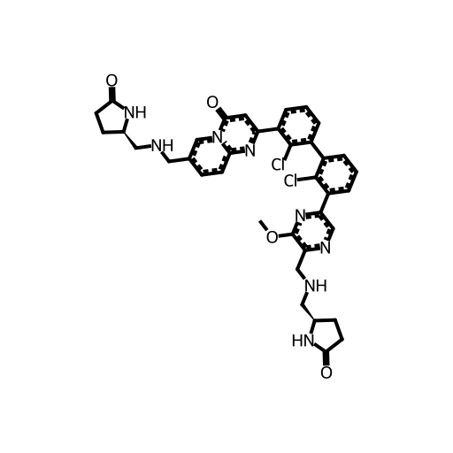 COc1nc(-c2cccc(-c3cccc(-c4cc(=O)n5cc(CNC[C@H]6CCC(=O)N6)ccc5n4)c3Cl)c2Cl)cnc1CNC[C@H]1CCC(=O)N1